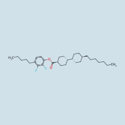 CCCCCCC[C@H]1CC[C@H]([C@H]2CC[C@H](C(=O)Oc3ccc(CCCCC)c(F)c3F)CC2)CC1